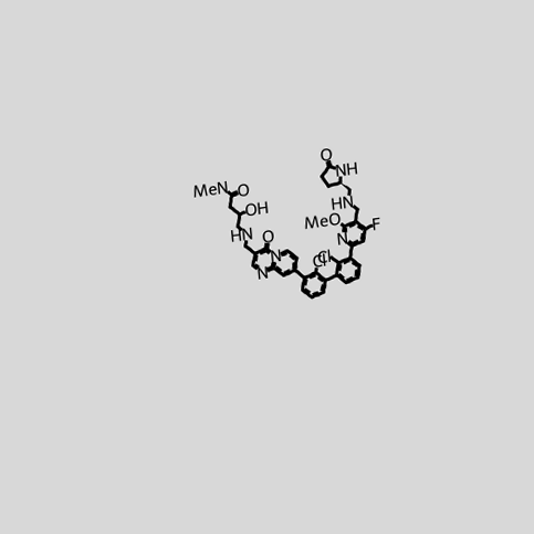 CNC(=O)CC(O)CNCc1cnc2cc(-c3cccc(-c4cccc(-c5cc(F)c(CNC[C@H]6CCC(=O)N6)c(OC)n5)c4Cl)c3Cl)ccn2c1=O